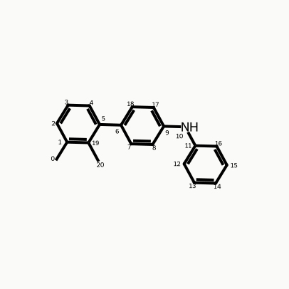 Cc1cccc(-c2ccc(Nc3ccccc3)cc2)c1C